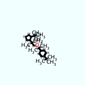 CC(C)(C)c1ccc(C(C)(C)OCC(C)(C)C2CCCC2C(C)(C)C)cc1